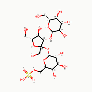 O=S(=O)(O)OC[C@H]1O[C@H](O[C@]2(CO)O[C@H](CO)[C@@H](O)[C@@H]2O[C@H]2O[C@H](CO)[C@@H](O)[C@H](O)[C@H]2O)[C@H](O)[C@@H](O)[C@@H]1O